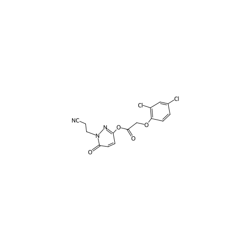 N#CCCn1nc(OC(=O)COc2ccc(Cl)cc2Cl)ccc1=O